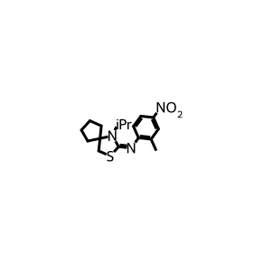 Cc1cc([N+](=O)[O-])ccc1/N=C1/SCC2(CCCC2)N1C(C)C